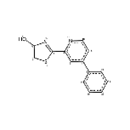 OC1CSC(c2cc(-c3ccccc3)ccn2)=N1